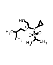 CC(C)CC[C@H](CO)N(C1CC1)S(=O)(=O)C(C)C